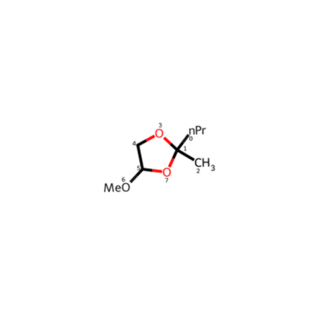 CCCC1(C)OCC(OC)O1